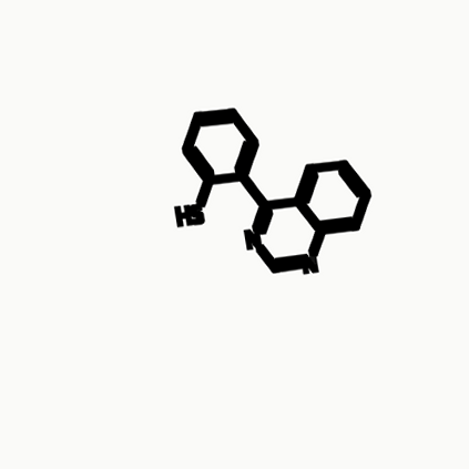 Sc1ccccc1-c1ncnc2ccccc12